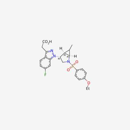 CCOc1ccc(S(=O)(=O)N2C[C@H](n3nc(CC(=O)O)c4ccc(F)cc43)[C@H]3C(C)[C@H]32)cc1